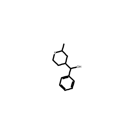 CC1CC(C(O)c2ccccc2)CCS1